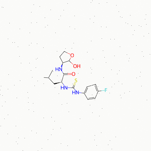 CC(C)C[C@H](NC(=S)Nc1ccc(F)cc1)C(=O)N[C@H]1CCOC1O